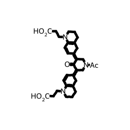 CC(=O)N1CC(=C2C=CC3=C(CCCN3CCC(=O)O)C2)C(=O)C(=C2C=CC3=C(CCCN3CCC(=O)O)C2)C1